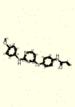 C=CC(=O)Nc1ccc(Sc2ccnc(Nc3ccc(OC)cc3)n2)cc1